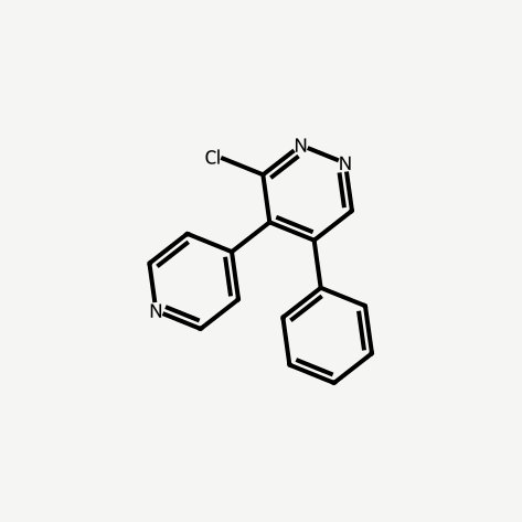 Clc1nncc(-c2ccccc2)c1-c1ccncc1